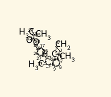 C=CCC(C)(C)c1cccc(CC(C)Cc2ccc(COC(=O)C(C)C)cc2)c1